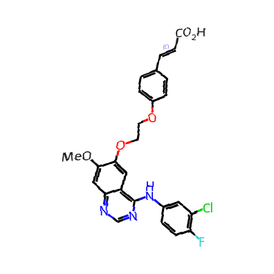 COc1cc2ncnc(Nc3ccc(F)c(Cl)c3)c2cc1OCCOc1ccc(/C=C/C(=O)O)cc1